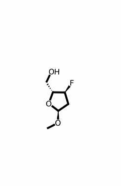 CO[C@@H]1C[C@H](F)[C@@H](CO)O1